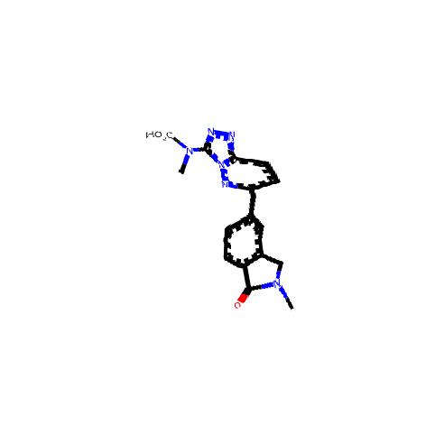 CN1Cc2cc(-c3ccc4nnc(N(C)C(=O)O)n4n3)ccc2C1=O